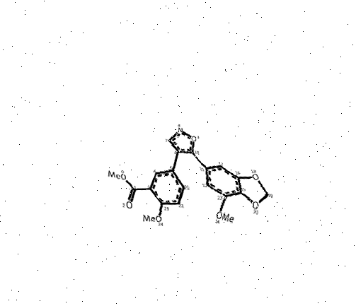 COC(=O)c1cc(-c2cnoc2-c2cc(OC)c3c(c2)OCO3)ccc1OC